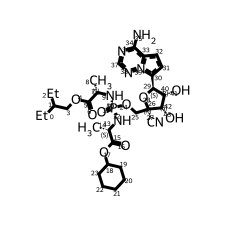 CCC(CC)COC(=O)[C@H](C)N[P@](=O)(N[C@@H](C)C(=O)OC1CCCCC1)OC[C@@]1(C#N)O[C@@H](c2ccc3c(N)ncnn23)[C@H](O)[C@@H]1O